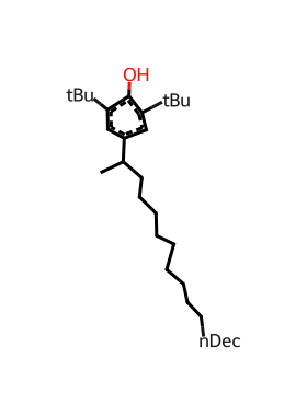 CCCCCCCCCCCCCCCCCCCC(C)c1cc(C(C)(C)C)c(O)c(C(C)(C)C)c1